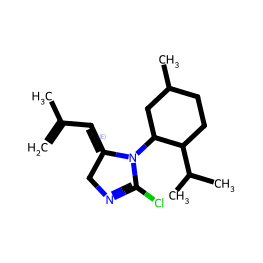 C=C(C)/C=C1\CN=C(Cl)N1C1CC(C)CCC1C(C)C